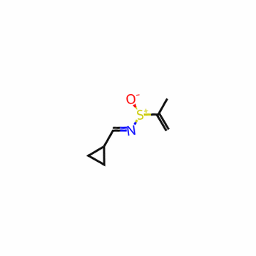 C=C(C)[S@+]([O-])/N=C/C1CC1